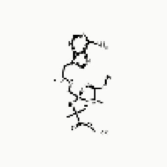 CCCCCCOC(=O)C(C)(C)NP(=O)(CO[C@H](C)Cn1cnc2c(N)ncnc21)N[C@H](C)C(=O)OC(C)C